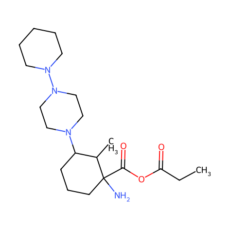 CCC(=O)OC(=O)C1(N)CCCC(N2CCN(N3CCCCC3)CC2)C1C